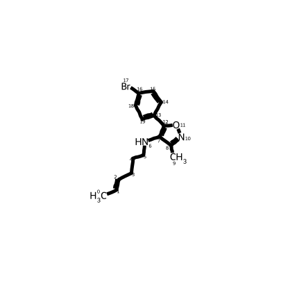 CC=CCCCNc1c(C)noc1-c1ccc(Br)cc1